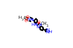 Cn1c(=O)c(Nc2cccc(N3CCN(S(C)(=O)=O)CC3)c2)nc2ccc(-c3cn[nH]c3)cc21